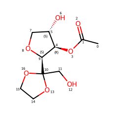 CC(=O)O[C@@H]1[C@@H](O)CO[C@@H]1C1(CO)OCCO1